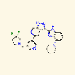 FC1(F)CCN(Cc2cncc(-c3cc4c(-c5nc6c(N7CCCCC7)cccc6[nH]5)n[nH]c4cn3)c2)C1